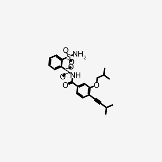 CC(C)C#Cc1ccc(C(=O)NS(=O)(=O)c2ccccc2S(N)(=O)=O)cc1OCC(C)C